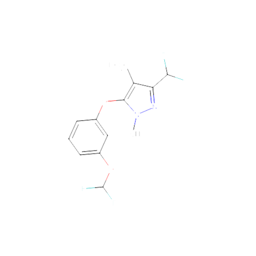 Cn1nc(C(F)F)c(C(=O)O)c1Oc1cccc(OC(F)F)c1